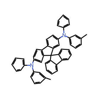 Cc1cccc(N(c2ccccc2)c2ccc3c(c2)C2(c4ccccc4-c4ccccc42)c2cc(N(c4ccccc4)c4cccc(C)c4)ccc2-3)c1